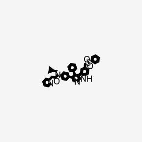 O=C(Cc1ccccn1)N(CC1CC1)c1ccc(-c2cnc3[nH]c4ccc(CS(=O)(=O)c5ccccc5)cc4c3c2-c2ccccc2)cc1